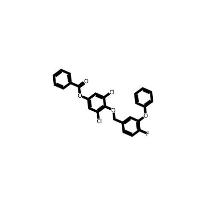 O=C(Oc1cc(Cl)c(OCc2ccc(F)c(Oc3ccccc3)c2)c(Cl)c1)c1ccccc1